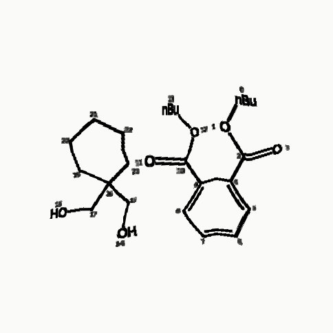 CCCCOC(=O)c1ccccc1C(=O)OCCCC.OCC1(CO)CCCCC1